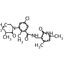 CCN(C(=O)C(C)C)c1cc(Cl)cc(C(=O)NCc2c(C)cc(C)[nH]c2=O)c1C